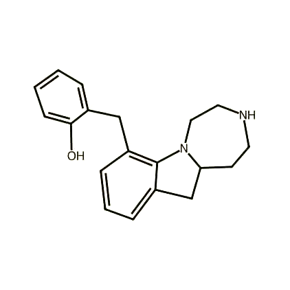 Oc1ccccc1Cc1cccc2c1N1CCNCCC1C2